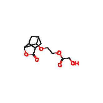 O=C(CO)OCCOC1C2CC3C(=O)OC1C3C2